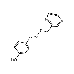 Oc1ccc(SSSCc2cnccn2)cc1